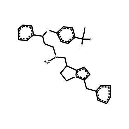 CN(CCC(Oc1ccc(C(F)(F)F)cc1)c1ccccc1)CC1CCn2c(Cc3ccccc3)ccc21